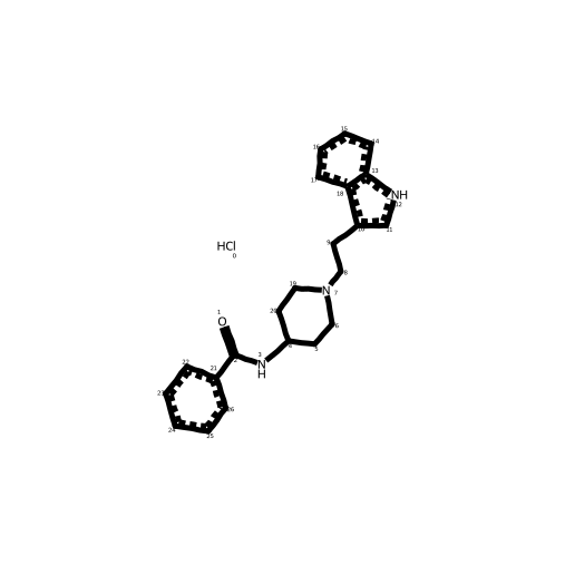 Cl.O=C(NC1CCN(CCc2c[nH]c3ccccc23)CC1)c1ccccc1